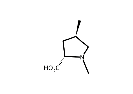 C[C@@H]1C[C@@H](C(=O)O)N(C)C1